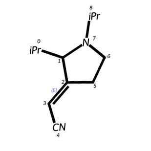 CC(C)C1/C(=C/C#N)CCN1C(C)C